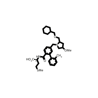 COC1CC(COCC2CCCCC2)N(Cc2ccc(C(=O)N[C@@H](CCSC)C(=O)O)c(-c3ccccc3C)c2)C1